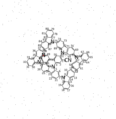 N#Cc1cc(-n2c3cc(-n4c5ccccc5c5ccccc54)ccc3c3ccc(-n4c5ccccc5c5ccccc54)cc32)c(-c2cccnc2)cc1-n1c2cc(-n3c4ccccc4c4ccccc43)ccc2c2ccc(-n3c4ccccc4c4ccccc43)cc21